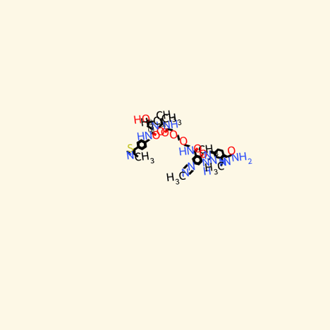 COc1c(Nc2ncc3c(n2)-c2c(c(C(N)=O)nn2C)CC3)cc(N2CCN(C)CC2)cc1C(=O)NCCOCCOCC(=O)N[C@H](C(=O)N1C[C@H](O)C[C@H]1C(=O)NCc1ccc(-c2scnc2C)cc1)C(C)(C)C